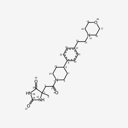 CC1(CC(=O)N2CCC(c3ccc(CCN4CCOCC4)cc3)CC2)NC(=O)NC1=O